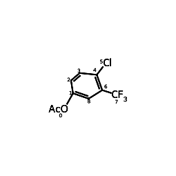 CC(=O)Oc1ccc(Cl)c(C(F)(F)F)c1